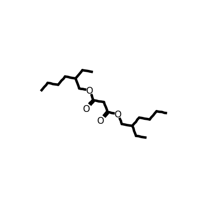 CCCCC(CC)COC(=O)CC(=O)OCC(CC)CCCC